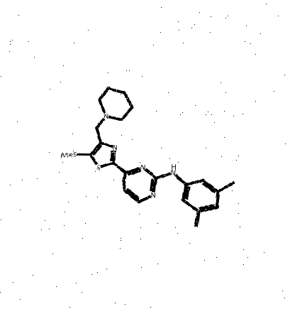 CSc1sc(-c2ccnc(Nc3cc(C)cc(C)c3)n2)nc1CN1CCCCC1